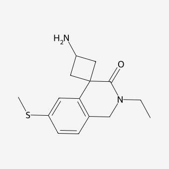 CCN1Cc2ccc(SC)cc2C2(CC(N)C2)C1=O